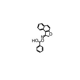 OC(O/N=C1\COc2ccc3ccccc3c21)c1ccccc1